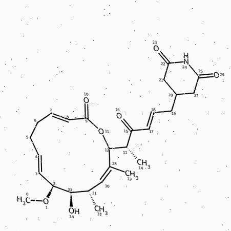 CO[C@H]1/C=C/CC/C=C/C(=O)OC([C@@H](C)C(=O)/C=C/CC2CC(=O)NC(=O)C2)/C(C)=C\[C@H](C)[C@H]1O